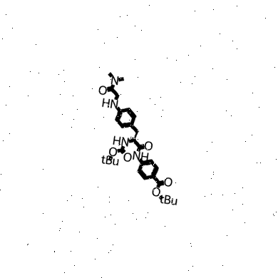 CN(C)C(=O)CNc1ccc(C[C@H](NC(=O)OC(C)(C)C)C(=O)Nc2ccc(C(=O)OC(C)(C)C)cc2)cc1